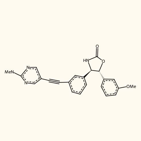 CNc1ncc(C#Cc2cccc([C@H]3NC(=O)O[C@@H]3c3cccc(OC)c3)c2)cn1